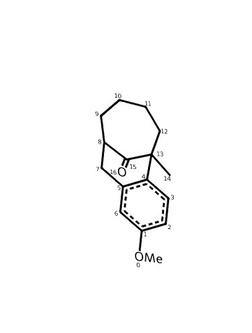 COc1ccc2c(c1)CC1CCCCC2(C)C1=O